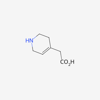 O=C(O)CC1=CCNCC1